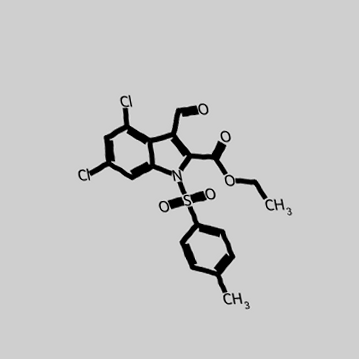 CCOC(=O)c1c(C=O)c2c(Cl)cc(Cl)cc2n1S(=O)(=O)c1ccc(C)cc1